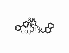 CN(C[C@H](O)CNC(C)(C)Cc1ccc2ccccc2c1)S(=O)(=O)c1ccc(-c2ccccc2C(=O)O)cc1